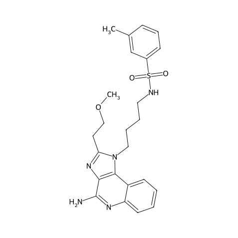 COCCc1nc2c(N)nc3ccccc3c2n1CCCCNS(=O)(=O)c1cccc(C)c1